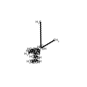 CCCCCCCCCCCCC/C=C/[C@@H](O)[C@H](CO[C@@H]1OC(CO)[C@@H](O[C@@H]2OC(CO)[C@H](O[C@@H]3OC(CO)[C@H](O)[C@H](O)C3NC(C)=O)[C@H](O[C@H]3OC(CO)[C@H](O)[C@H](O[C@@H]4OC(CO)[C@@H](O)[C@H](O)C4NC(C)=O)C3O)C2O)[C@H](O)C1O)NC(=O)CCCCCCCCCCCCCCCCCCCCCCCCC